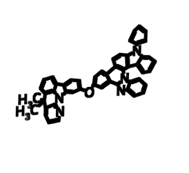 CC1(C)c2cccnc2-n2c3cc(Oc4ccc5c(c4)c4nc6ccccc6n4c4c5ccc5c4c4ccccc4n5-c4ccccc4)ccc3c3cccc1c32